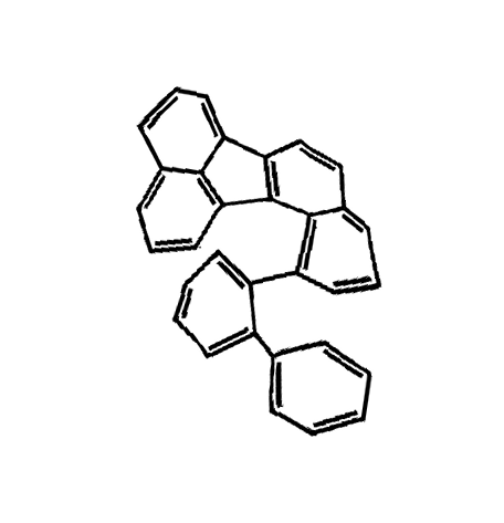 [c]1ccc2cccc3c2c1-c1c-3ccc2cccc(-c3ccccc3-c3ccccc3)c12